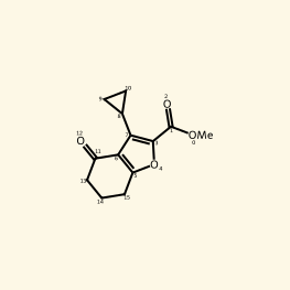 COC(=O)c1oc2c(c1C1CC1)C(=O)CCC2